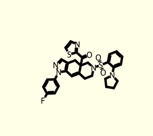 O=C(c1nccs1)C12Cc3cnn(-c4ccc(F)cc4)c3C=C1CCN(S(=O)(=O)c1ccccc1N1CCCC1)C2